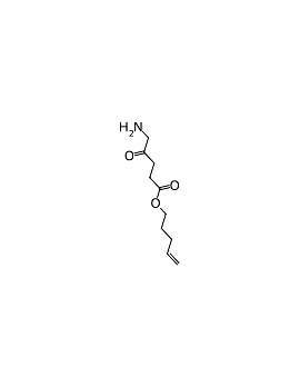 C=CCCCOC(=O)CCC(=O)CN